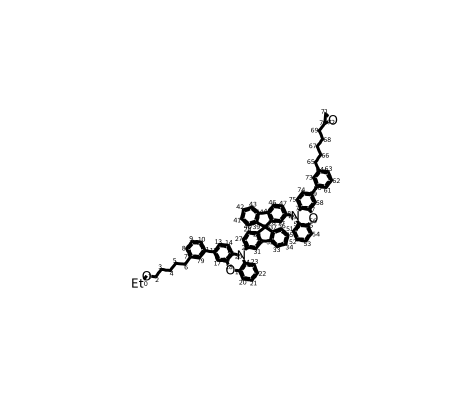 CCOCCCCCc1cccc(-c2ccc3c(c2)Oc2ccccc2N3c2ccc3c(c2)-c2ccccc2C32c3ccccc3-c3ccc(N4c5ccccc5Oc5cc(-c6cccc(CCCCCC7CO7)c6)ccc54)cc32)c1